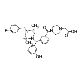 C[C@@H]1CN(C(c2cccc(O)c2)c2cccc(C(=O)N3CCN(CC(=O)O)CC3)c2)[C@@H](C)CN1Cc1ccc(F)cc1